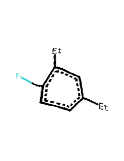 CCc1[c]cc(F)c(CC)c1